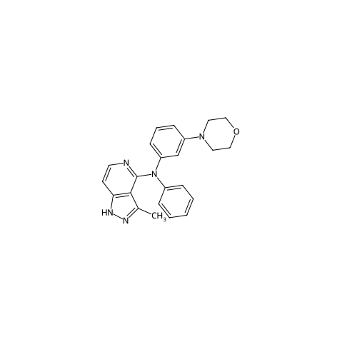 Cc1n[nH]c2ccnc(N(c3ccccc3)c3cccc(N4CCOCC4)c3)c12